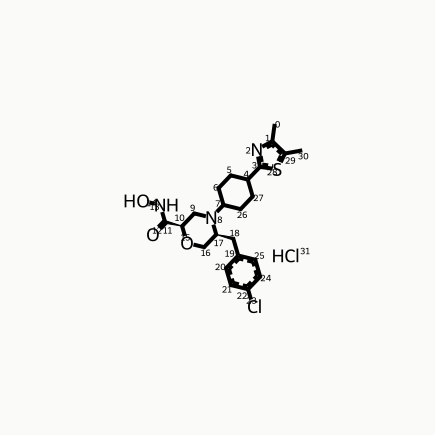 Cc1nc(C2CCC(N3C[C@H](C(=O)NO)OC[C@@H]3Cc3ccc(Cl)cc3)CC2)sc1C.Cl